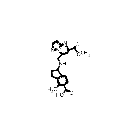 COC(=O)c1cc(CNC2CCc3c2ccc(C(=O)O)c3C)n2nccc2n1